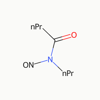 CCCC(=O)N(CCC)N=O